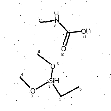 CC[SiH](OC)OC.CNC(=O)O